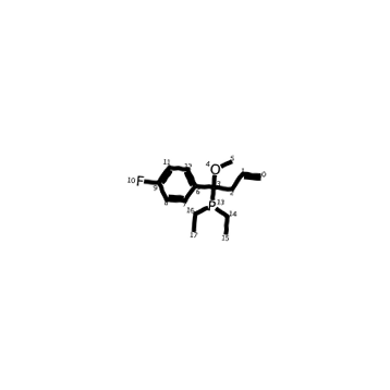 C=CCC(OC)(c1ccc(F)cc1)P(CC)CC